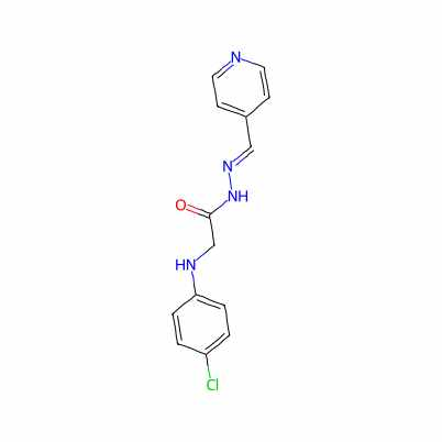 O=C(CNc1ccc(Cl)cc1)N/N=C/c1ccncc1